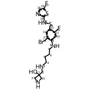 OC1(CNCCCCNc2cc(F)c(SNc3ncc(F)s3)cc2Br)CNC1